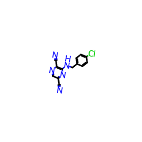 N#Cc1cnc(C#N)c(NCc2ccc(Cl)cc2)n1